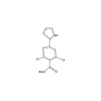 COC(=O)c1c(Cl)cc(-c2ccc[nH]2)cc1Cl